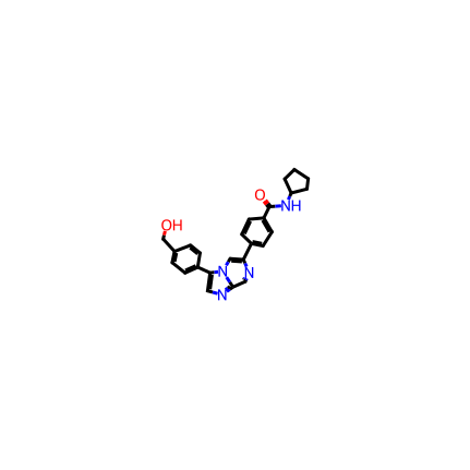 O=C(NC1CCCC1)c1ccc(-c2cn3c(-c4ccc(CO)cc4)cnc3cn2)cc1